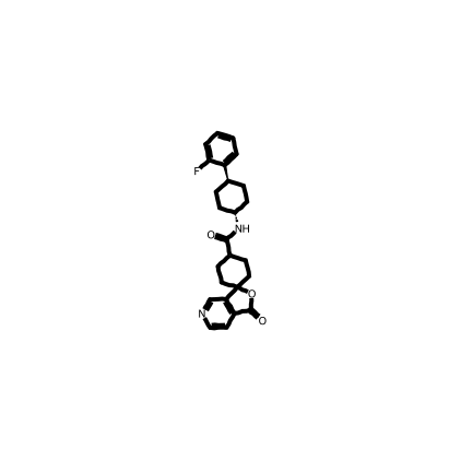 O=C1OC2(CCC(C(=O)N[C@H]3CC[C@H](c4ccccc4F)CC3)CC2)c2cnccc21